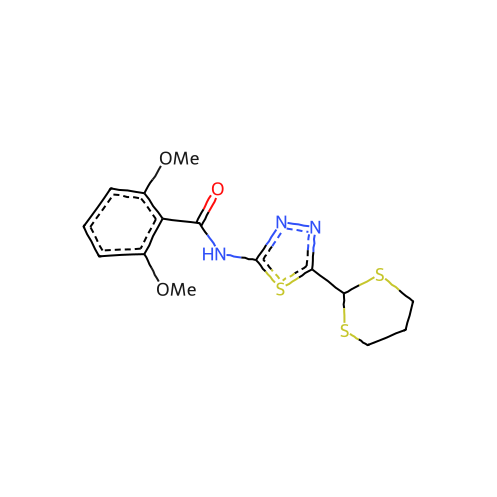 COc1cccc(OC)c1C(=O)Nc1nnc(C2SCCCS2)s1